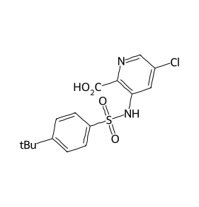 CC(C)(C)c1ccc(S(=O)(=O)Nc2cc(Cl)cnc2C(=O)O)cc1